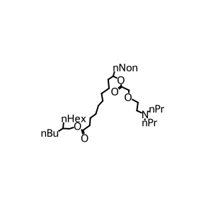 CCCCCCCCCC(CCCCCCCCC(=O)OCC(CCCC)CCCCCC)OC(=O)COCCN(CCC)CCC